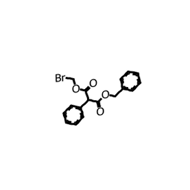 O=C(OCBr)C(C(=O)OCc1ccccc1)c1ccccc1